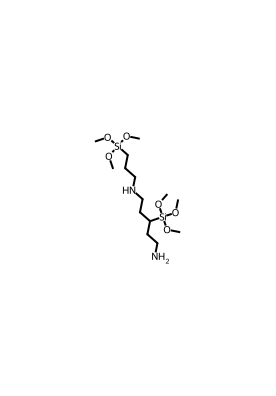 CO[Si](CCCNCCC(CCN)[Si](OC)(OC)OC)(OC)OC